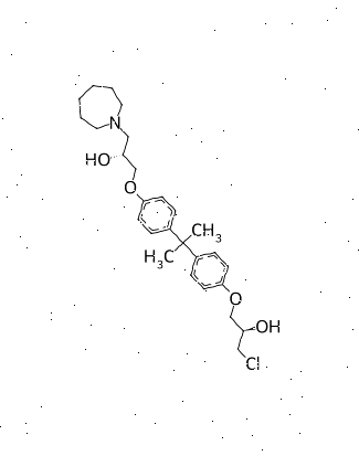 CC(C)(c1ccc(OC[C@@H](O)CCl)cc1)c1ccc(OC[C@H](O)CN2CCCCCC2)cc1